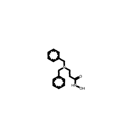 O=C(CCN(Cc1ccccc1)Cc1ccccc1)NO